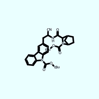 CC(C)(C)OC(=O)N1C2CCC(C2)C1C(=O)NC(C#N)Cc1ccc2c(c1)c1ccccc1n2C(=O)OC(C)(C)C